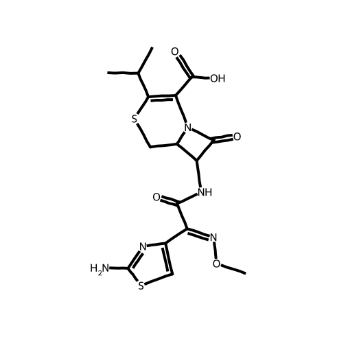 CON=C(C(=O)NC1C(=O)N2C(C(=O)O)=C(C(C)C)SCC12)c1csc(N)n1